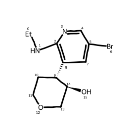 CCNc1ncc(Br)cc1[C@H]1CCOC[C@@H]1O